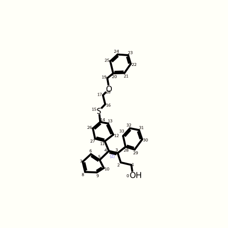 OCC/C(=C(\c1ccccc1)c1ccc(SCCOCc2ccccc2)cc1)c1ccccc1